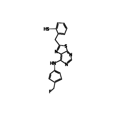 FCc1ccc(Nc2ncnc3sc(Cc4ccccc4S)nc23)cc1